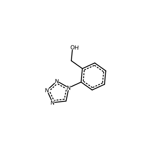 OCc1ccccc1-n1cnnn1